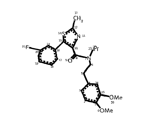 COc1ccc(CCN(C(=O)c2nc(C)sc2-c2cccc(F)c2)C(C)C)cc1OC